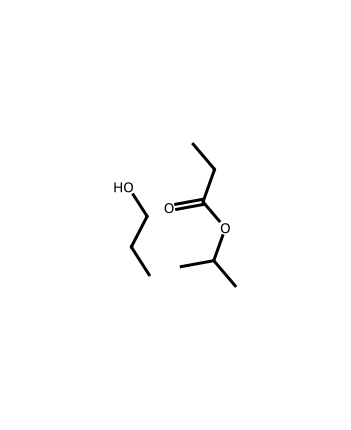 CCC(=O)OC(C)C.CCCO